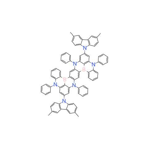 Cc1ccc2c(c1)c1cc(C)ccc1n2-c1cc2c3c(c1)N(c1ccccc1)c1cc4c(cc1B3c1ccccc1N2c1ccccc1)N(c1ccccc1)c1cc(-n2c3ccc(C)cc3c3cc(C)ccc32)cc2c1B4c1ccccc1N2c1ccccc1